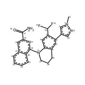 Cn1cc(-c2cc3c(cc2C(F)F)N(c2nc(C(N)=O)cc4ccccc24)CCC3)cn1